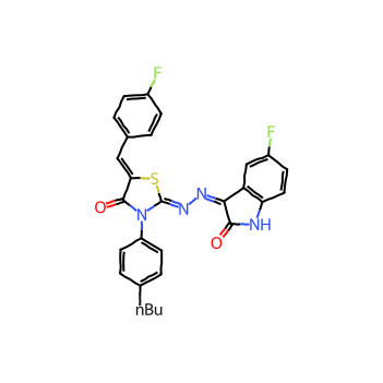 CCCCc1ccc(N2C(=O)C(=Cc3ccc(F)cc3)SC2=NN=C2C(=O)Nc3ccc(F)cc32)cc1